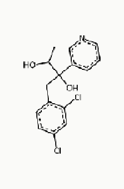 CC(O)C(O)(Cc1ccc(Cl)cc1Cl)c1cccnc1